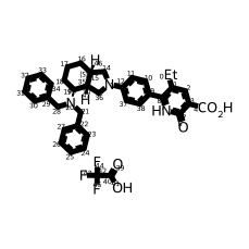 CCc1cc(C(=O)O)c(=O)[nH]c1-c1ccc(N2C[C@H]3CCC[C@@H](N(Cc4ccccc4)Cc4ccccc4)[C@H]3C2)cc1.O=C(O)C(F)(F)F